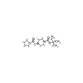 CC(C)(C)OC(=O)N1CCN(CC(=O)C2CCCC2)CC1